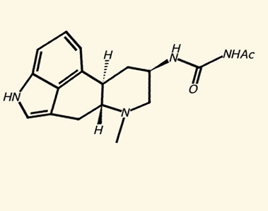 CC(=O)NC(=O)N[C@@H]1C[C@@H]2c3cccc4[nH]cc(c34)C[C@H]2N(C)C1